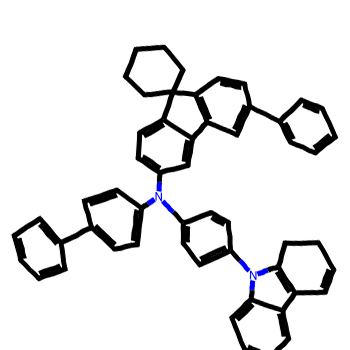 C1=Cc2c(n(-c3ccc(N(c4ccc(-c5ccccc5)cc4)c4ccc5c(c4)-c4cc(-c6ccccc6)ccc4C54CCCCC4)cc3)c3ccccc23)CC1